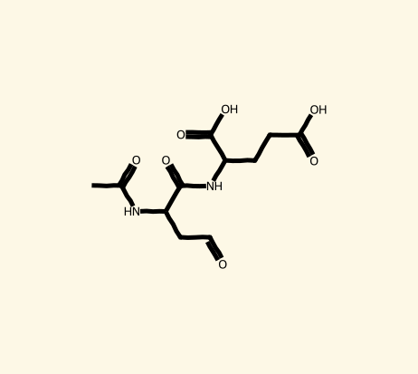 CC(=O)NC(CC=O)C(=O)NC(CCC(=O)O)C(=O)O